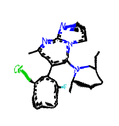 Cc1nc2nccn2c(N2C(C)CCC2C)c1-c1c(F)cccc1Cl